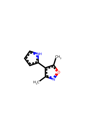 Cc1noc(C)c1-c1ccc[nH]1